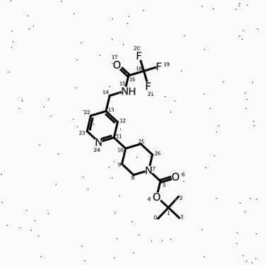 CC(C)(C)OC(=O)N1CCC(c2cc(CNC(=O)C(F)(F)F)ccn2)CC1